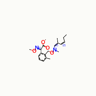 CC/C=C\C(C)=C/N(C)OCc1c(C)cccc1/C(=N\OC)C(=O)OC